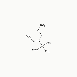 CCCCCCC(C)(CCCC)C(CO[N+](=O)[O-])O[N+](=O)[O-]